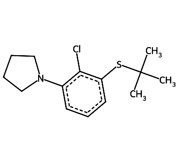 CC(C)(C)Sc1cccc(N2CCCC2)c1Cl